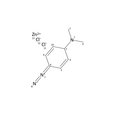 CN(C)C1C=CC(=[N+]=[N-])C=C1.[Cl-].[Cl-].[Zn+2]